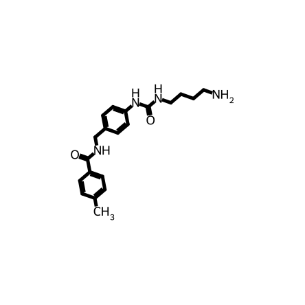 Cc1ccc(C(=O)NCc2ccc(NC(=O)NCCCCN)cc2)cc1